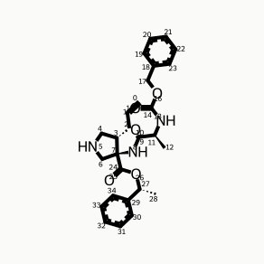 C=CC[C@H]1CNC[C@@]1(NC(=O)[C@H](C)NC(=O)OCc1ccccc1)C(=O)O[C@H](C)c1ccccc1